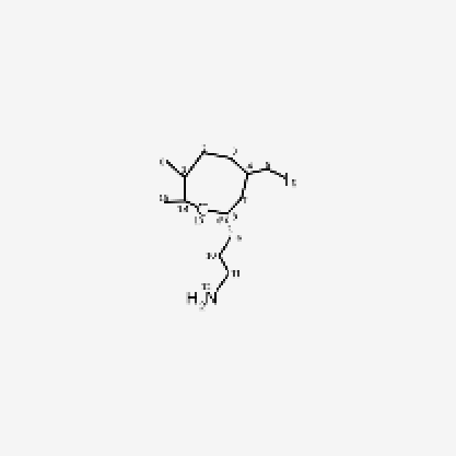 CC1CCC(CI)C[C@H](CCCN)CC1C